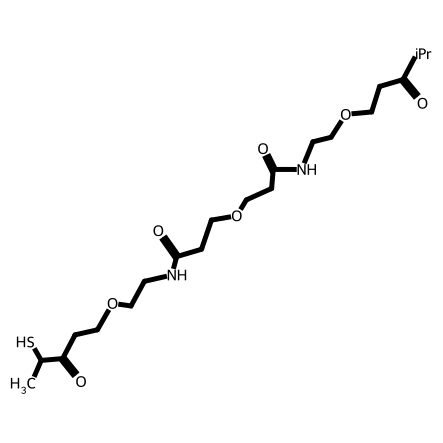 CC(C)C(=O)CCOCCNC(=O)CCOCCC(=O)NCCOCCC(=O)C(C)S